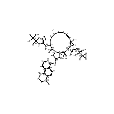 CC[C@@H]1C[C@H](C)CC/C=C\[C@@H]2C[C@@]2(C(=O)NS(=O)(=O)C2(C)CC2)NC(=O)[C@@H]2C[C@@H](Oc3nccc4c5c(ccc34)N(C)CCO5)CN2C(=O)[C@H]1NC(=O)OC(C)(C)C(C)(F)F